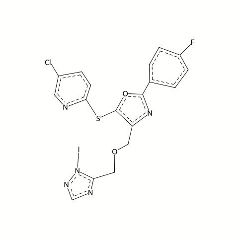 Fc1ccc(-c2nc(COCc3ncnn3I)c(Sc3ccc(Cl)cn3)o2)cc1